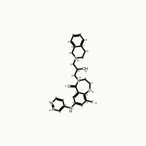 O=C1c2cc(Nc3ccnnc3)cc(F)c2OCCN1CC(O)CN1CCc2ccccc2C1